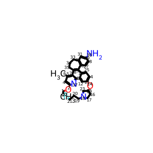 CCOc1cc(C)c(C2=C(c3ccc(O[C@H]4CCN(CCCF)C4)cc3)c3ccc(N)cc3CCC2)cn1